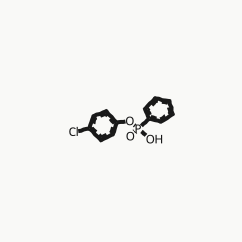 O=P(O)(Oc1ccc(Cl)cc1)c1ccccc1